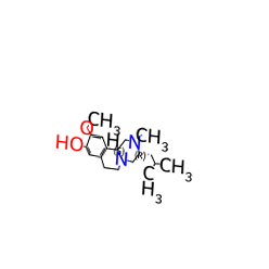 COc1cc2c(cc1O)CCN1C[C@@H](CC(C)C)N(C)C[C@H]21